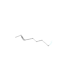 C/C=C/CCCCF